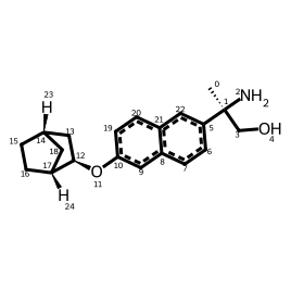 C[C@](N)(CO)c1ccc2cc(O[C@@H]3C[C@H]4CC[C@@H]3C4)ccc2c1